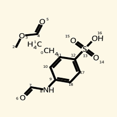 C.C.COC=O.O=CNc1ccc(S(=O)(=O)O)cc1